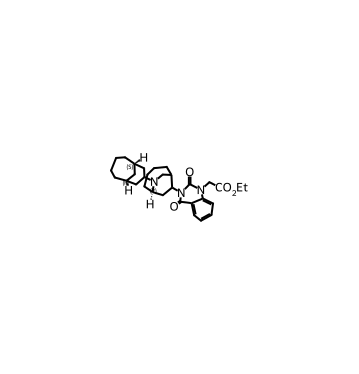 CCOC(=O)Cn1c(=O)n(C2C[C@H]3CCCCC2CN3C2C[C@H]3CCCC[C@@H](C2)C3)c(=O)c2ccccc21